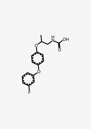 CC(CNC(=O)O)Oc1ccc(Oc2cccc(F)c2)cc1